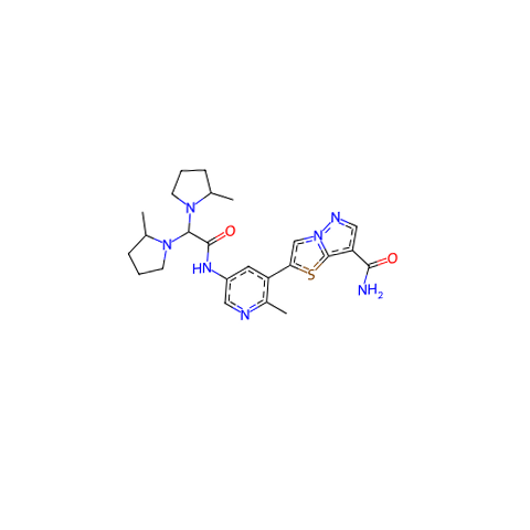 Cc1ncc(NC(=O)C(N2CCCC2C)N2CCCC2C)cc1-c1cn2ncc(C(N)=O)c2s1